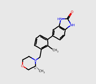 Cc1c(CN2CCOC[C@H]2C)cccc1-c1ccc2[nH]c(=O)[nH]c2c1